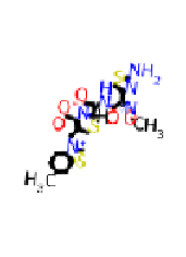 CO/N=C(\C(=O)N[C@@H]1C(=O)N2C(C(=O)[O-])=C(C[n+]3csc4c3CCC(C)C4)CS[C@@H]12)c1csc(N)n1